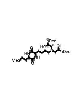 CCCCCCCCCCC(O)CN(CCCCC1NC(=O)C(CCSC)NC1=O)CC(O)CCCCCCCCCC